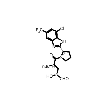 CCCC[C@H](CN(O)C=O)C(=O)N1CCC[C@H]1c1nc2cc(C(F)(F)F)cc(Cl)c2[nH]1